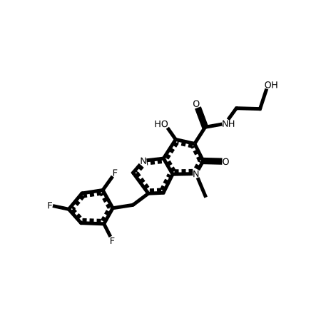 Cn1c(=O)c(C(=O)NCCO)c(O)c2ncc(Cc3c(F)cc(F)cc3F)cc21